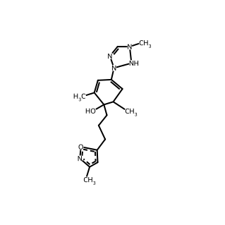 CC1=CC(N2N=CN(C)N2)=CC(C)C1(O)CCCc1cc(C)no1